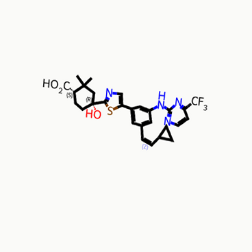 CC1(C)C[C@@](O)(c2ncc(-c3cc(/C=C\C4CC4)cc(Nc4nccc(C(F)(F)F)n4)c3)s2)CC[C@@H]1C(=O)O